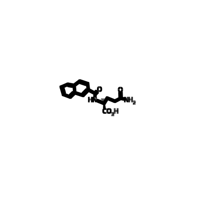 NC(=O)CC[C@H](NC(=O)c1ccc2ccccc2c1)C(=O)O